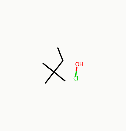 CCC(C)(C)C.OCl